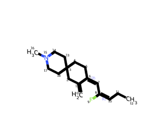 C=C1CC2(CC/C1=C/C(F)=C\CC)CCN(C)CC2